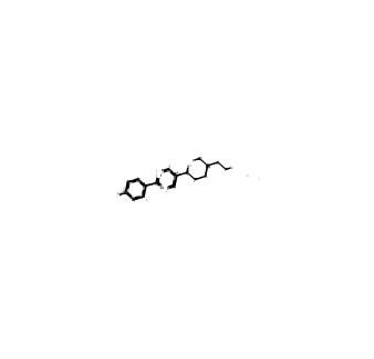 COCCC1CCC(c2cnc(-c3ccc(F)cc3)nc2)OC1